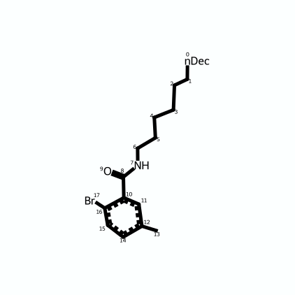 CCCCCCCCCCCCCCCCNC(=O)c1cc(C)ccc1Br